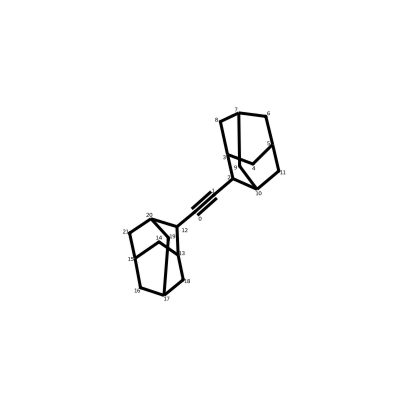 C(#CC1C2CC3CC(C2)CC1C3)C1C2CC3CC(C2)CC1C3